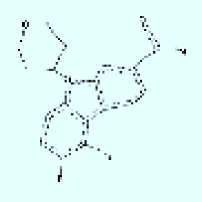 O=C(O)c1ccc2c3c(F)c(F)ccc3n(C3CCOCC3)c2c1